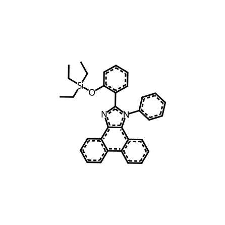 CC[Si](CC)(CC)Oc1ccccc1-c1nc2c3ccccc3c3ccccc3c2n1-c1ccccc1